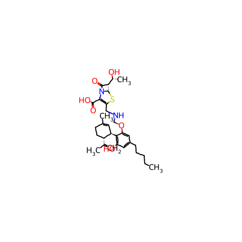 C=C(C)[C@@H]1CCC(C)=C[C@H]1c1c(O)cc(CCCCC)cc1OCNCC1=C(C(=O)O)N2C(=O)[C@H]([C@@H](C)O)C2S1